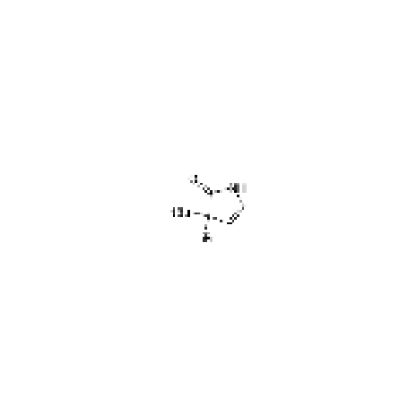 CC(C)C1(C(C)(C)C)C=CNC1=O